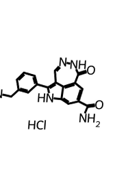 CN(C)Cc1cccc(-c2[nH]c3cc(C(N)=O)cc4c3c2C=NNC4=O)c1.Cl